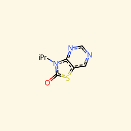 CC(C)n1c(=O)sc2cncnc21